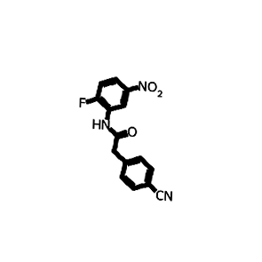 N#Cc1ccc(CC(=O)Nc2cc([N+](=O)[O-])ccc2F)cc1